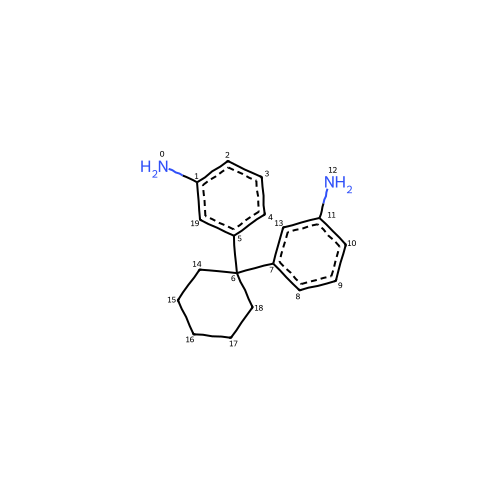 Nc1cccc(C2(c3cccc(N)c3)CCCCC2)c1